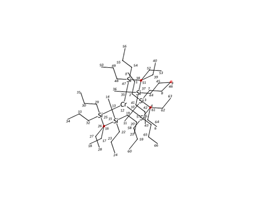 CCC[Si](CCC)(CCC)[C](C)([Cr]([C](C)([Si](CCC)(CCC)CCC)[Si](CCC)(CCC)CCC)[C](C)([Si](CCC)(CCC)CCC)[Si](CCC)(CCC)CCC)[Si](CCC)(CCC)CCC